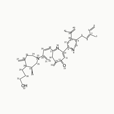 C=C/C(C)=C\Cc1cnc(C2=CC(=O)C(=C)CC(/C=C\C(=C/C)N3CCC(=C)C(CCCO)[C@H](C)C3)=N2)cc1C(=C)C